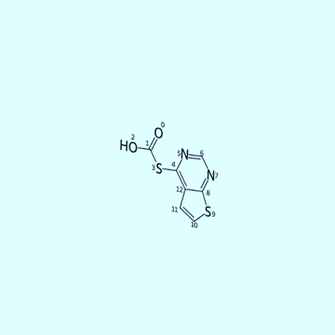 O=C(O)Sc1ncnc2sccc12